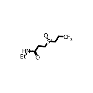 CCNC(=O)CC[S+]([O-])CCC(F)(F)F